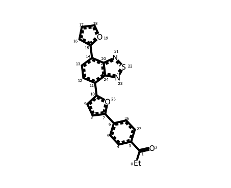 CCC(=O)c1ccc(-c2ccc(-c3ccc(-c4ccco4)c4nsnc34)o2)cc1